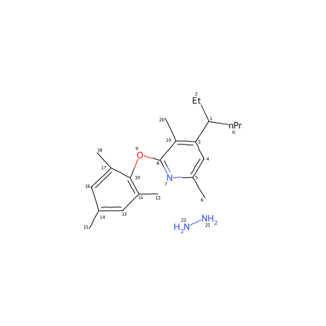 CCCC(CC)c1cc(C)nc(Oc2c(C)cc(C)cc2C)c1C.NN